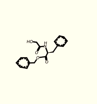 O=C(CO)N[C@@H](Cc1ccccc1)C(=O)OCc1ccccc1